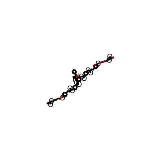 C=CC(=O)OCCCCCCOc1ccc(CCC(=O)OC2CCC(C(=O)Oc3ccc(OC(=O)C4CCC(OC(=O)CCc5ccc(OCCCCCCOC(=O)C=C)cc5)CC4)c4nc(-c5ccccc5)c(C)nc34)CC2)cc1